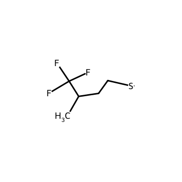 CC(CC[S])C(F)(F)F